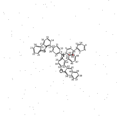 c1ccc(-c2ccc(N(c3ccc(-c4cccc5c4sc4ccccc45)cc3)c3ccc4oc5cc6ccccc6cc5c4c3-c3ccccc3)cc2)cc1